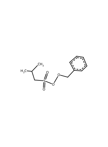 CC(C)CS(=O)(=O)OOCc1ccccc1